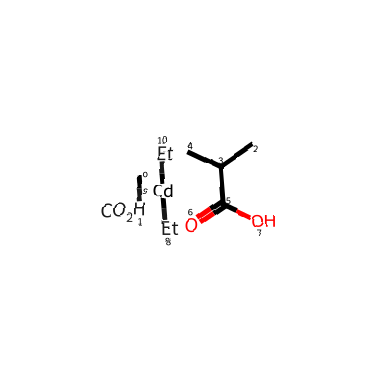 CC(=O)O.CC(C)C(=O)O.C[CH2][Cd][CH2]C